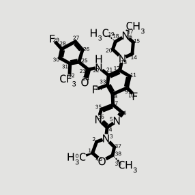 C[C@H]1CN(c2ncc(-c3c(F)cc(N4CCN(C)[C@@H](C)C4)c(NC(=O)c4ccc(F)cc4C(F)(F)F)c3F)cn2)C[C@H](C)O1